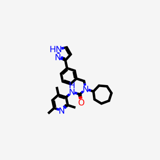 Cc1cc(C)c(NC(=O)N(Cc2cccc(-c3cc[nH]n3)c2)C2CCCCCC2)c(C)n1